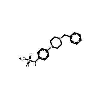 CS(=O)(=O)Nc1ccc(N2CCN(Cc3ccccc3)CC2)cc1